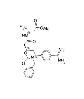 COC(=O)C[C@@H](C)NC(=O)C[C@H]1C[C@@H](c2ccc(C(=N)N)cc2)N(Cc2ccccc2)C(=O)O1